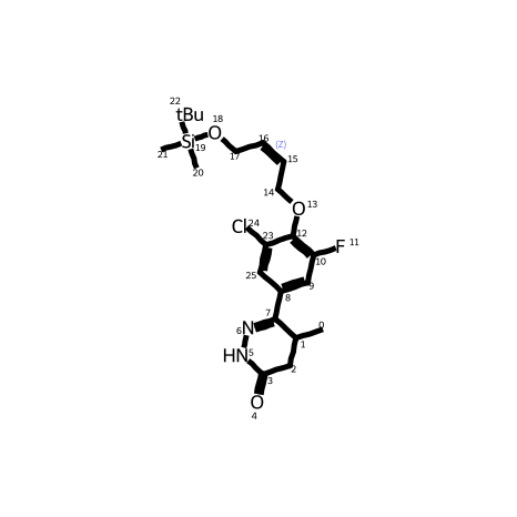 CC1CC(=O)NN=C1c1cc(F)c(OC/C=C\CO[Si](C)(C)C(C)(C)C)c(Cl)c1